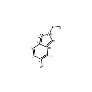 [CH2]c1ccc2nn(CC)cc2c1